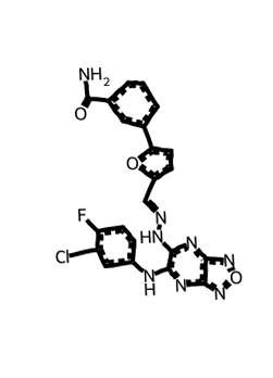 NC(=O)c1cccc(-c2ccc(C=NNc3nc4nonc4nc3Nc3ccc(F)c(Cl)c3)o2)c1